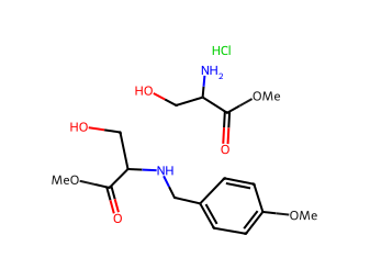 COC(=O)C(CO)NCc1ccc(OC)cc1.COC(=O)C(N)CO.Cl